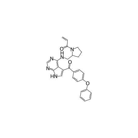 C=CC(=O)N1CCCC1CNc1ncnc2[nH]cc(C(=O)c3ccc(Oc4ccccc4)cc3)c12